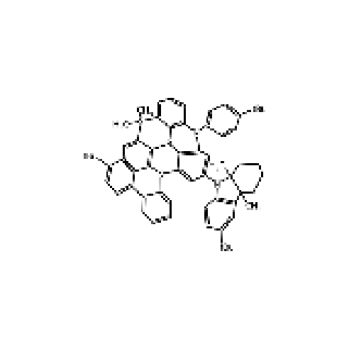 CC(C)(C)c1ccc(-c2ccccc2N2c3cc(N4c5ccc(C(C)(C)C)cc5C5(C)CCCCC45C)cc4c3B3c5c(cccc5[Si](C)(C)c5cccc2c53)N4c2ccc(C(C)(C)C)cc2)cc1